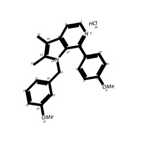 COc1ccc(-c2nccc3c(C)c(C)n(Cc4cccc(OC)c4)c23)cc1.Cl